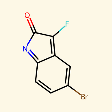 O=C1N=c2ccc(Br)cc2=C1F